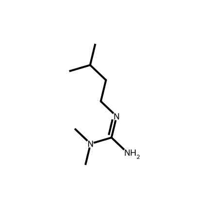 CC(C)CCN=C(N)N(C)C